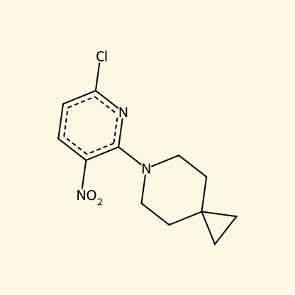 O=[N+]([O-])c1ccc(Cl)nc1N1CCC2(CC1)CC2